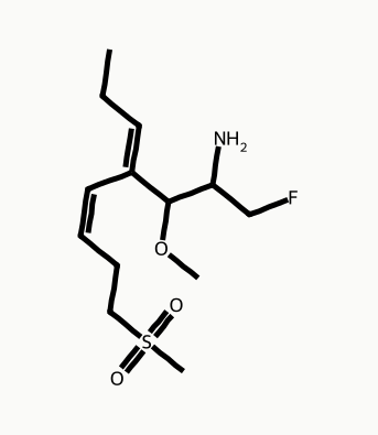 CC/C=C(\C=C/CCS(C)(=O)=O)C(OC)C(N)CF